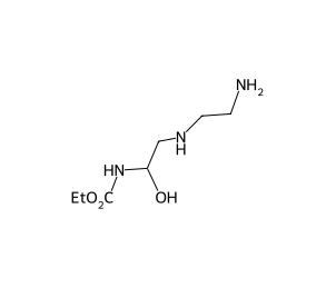 CCOC(=O)NC(O)CNCCN